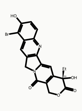 CC[C@@]1(O)C(=O)OCc2c1cc1n(c2=O)Cc2cc3c(Br)c(O)ccc3nc2-1